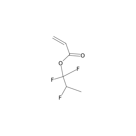 C=CC(=O)OC(F)(F)C(C)F